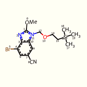 COc1nc2c(Br)cc(C#N)cc2n1COCC[Si](C)(C)C